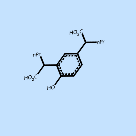 CCCC(C(=O)O)c1ccc(O)c(C(CCC)C(=O)O)c1